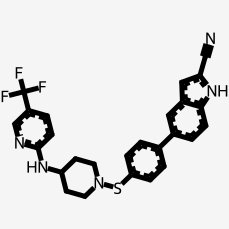 N#Cc1cc2cc(-c3ccc(SN4CCC(Nc5ccc(C(F)(F)F)cn5)CC4)cc3)ccc2[nH]1